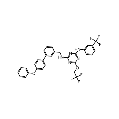 FC(F)(F)COc1nc(NCc2cccc(-c3ccc(Oc4ccccc4)cc3)c2)nc(Nc2cccc(C(F)(F)F)c2)n1